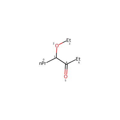 CCCC(OCC)C(=O)CC